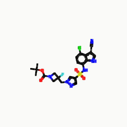 CC(C)(C)OC(=O)N1CC(F)(Cn2cc(S(=O)(=O)Nc3ccc(Cl)c4c(C#N)c[nH]c34)cn2)C1